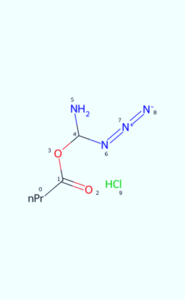 CCCC(=O)OC(N)N=[N+]=[N-].Cl